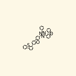 c1ccc(-c2nc(-c3ccc4c(c3)oc3cc(-c5cccc6c5sc5ccccc56)ccc34)nc(-c3cccc4oc5ccccc5c34)n2)cc1